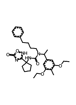 CCOc1cc(C(C)N(CCCCc2ccccc2)C(=O)NC2(c3nc(=O)o[nH]3)CCCC2)cc(OCC)c1C